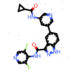 O=C(Nc1c(F)cncc1F)c1n[nH]c2ccc(-c3cncc(NC(=O)C4CC4)c3)cc12